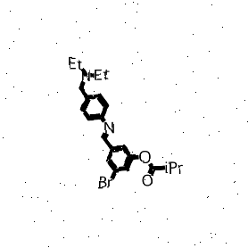 CCN(CC)Cc1ccc(N=Cc2cc(Br)cc(OC(=O)C(C)C)c2)cc1